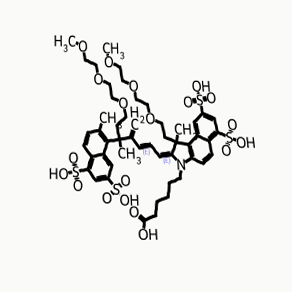 C=C(/C=C/C=C1/N(CCCCCC(=O)O)c2ccc3c(S(=O)(=O)O)cc(S(=O)(=O)O)cc3c2C1(C)CCOCCOCCOC)C(C)(CCOCCOCCOC)c1c(C)ccc2c(S(=O)(=O)O)cc(S(=O)(=O)O)cc12